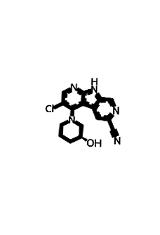 N#Cc1cc2c(cn1)[nH]c1ncc(Cl)c(N3CCC[C@H](O)C3)c12